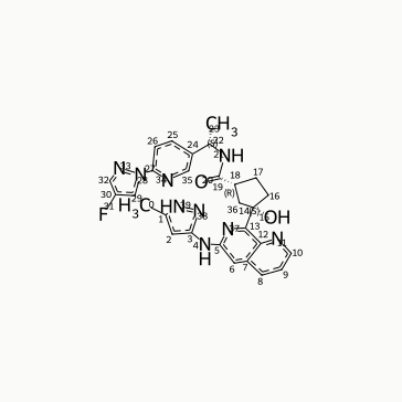 Cc1cc(Nc2cc3cccnc3c([C@]3(O)CC[C@@H](C(=O)N[C@@H](C)c4ccc(-n5cc(F)cn5)nc4)C3)n2)n[nH]1